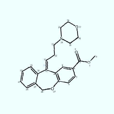 COC(=O)c1ccc2c(c1)/C(=C\CCN1CCOCC1)c1ccccc1CO2